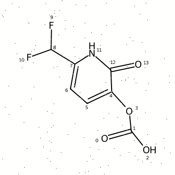 O=C(O)Oc1ccc(C(F)F)[nH]c1=O